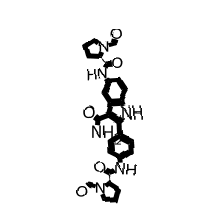 NC(=O)c1c(-c2ccc(NC(=O)[C@@H]3CCCN3C=O)cc2)[nH]c2ccc(NC(=O)[C@@H]3CCCN3C=O)cc12